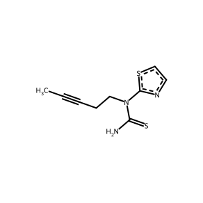 CC#CCCN(C(N)=S)c1nccs1